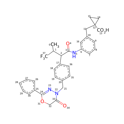 CC(C(C(=O)Nc1cccc(CC2(C(=O)O)CC2)c1)c1ccc(CN2N=C(c3ccccc3)OCC2=O)cc1)C(F)(F)F